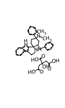 CN(C)C1(c2ccccc2)CCC2(NCCc3c2[nH]c2ccccc32)C(Cc2ccccc2)C1.O=C(O)CC(O)(CC(=O)O)C(=O)O